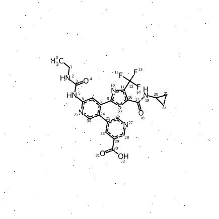 CCNC(=O)Nc1cc(-c2nc(C(F)(F)F)c(C(=O)NC3CC3)s2)c(-c2cncc(C(=O)O)c2)cn1